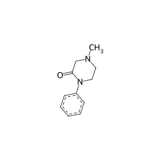 CN1CCN(c2ccccc2)C(=O)C1